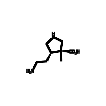 C[C@]1(C(=O)O)CNC[C@H]1CCN